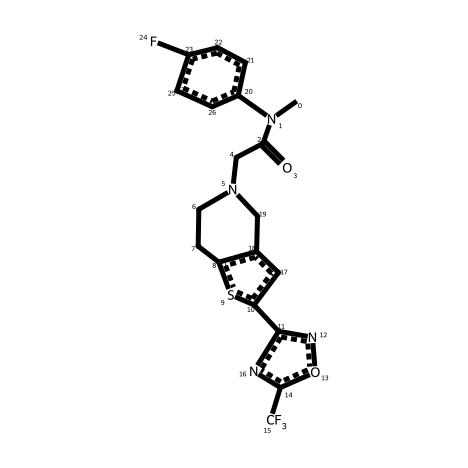 CN(C(=O)CN1CCc2sc(-c3noc(C(F)(F)F)n3)cc2C1)c1ccc(F)cc1